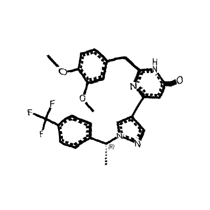 COc1ccc(Cc2nc(-c3cnn([C@H](C)c4ccc(C(F)(F)F)cc4)c3)cc(=O)[nH]2)cc1OC